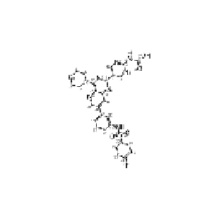 O=C(O)Nc1ncc(-c2nc(N3CCOCC3)c3ncc(-c4cccc(NS(=O)(=O)c5ccc(F)cc5)c4)cc3n2)cn1